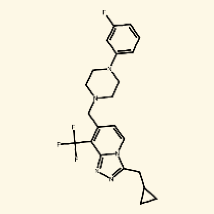 Fc1cccc(N2CCN(Cc3ccn4c(CC5CC5)nnc4c3C(F)(F)F)CC2)c1